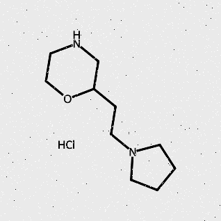 C1CCN(CCC2CNCCO2)C1.Cl